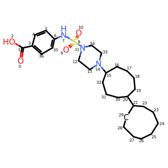 O=C(O)c1ccc(NS(=O)(=O)N2CCN(C3CCCCC(C4CCCCCCCC4)CCC3)CC2)cc1